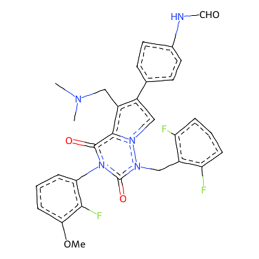 COc1cccc(-n2c(=O)c3c(CN(C)C)c(-c4ccc(NC=O)cc4)cn3n(Cc3c(F)cccc3F)c2=O)c1F